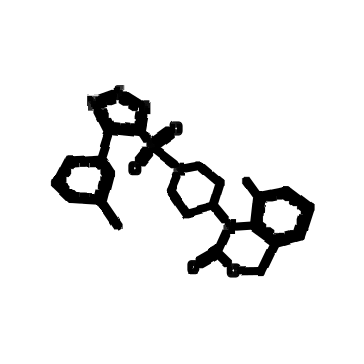 Cc1cccc(-c2nsnc2S(=O)(=O)N2CCC(N3C(=O)OCc4cccc(C)c43)CC2)c1